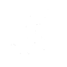 O=C1NCC(C(F)(F)C(F)(F)C(F)(F)C(F)(F)F)C(=O)N1